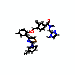 Cc1ccc(OCc2ccc(C(=O)N(C)Cc3nccn3C)cc2C)c(-c2csc(N3C[C@@H]4CCCC3CC4)n2)c1